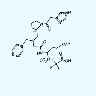 CSCCC(NC(=O)CN(Cc1ccccc1)C[C@@H]1CCCN1C(=O)Cc1c[nH]cn1)C(=O)O.O=C(O)C(F)(F)F